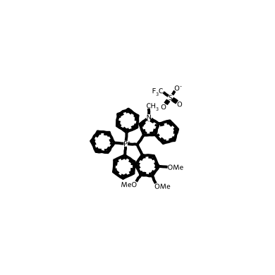 COc1cc(C(c2cn(C)c3ccccc23)[P+](c2ccccc2)(c2ccccc2)c2ccccc2)cc(OC)c1OC.O=S(=O)([O-])C(F)(F)F